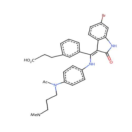 CNCCCN(C(C)=O)c1ccc(N/C(=C2\C(=O)Nc3cc(Br)ccc32)c2cccc(CCC(=O)O)c2)cc1